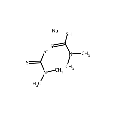 CN(C)C(=S)S.CN(C)C(=S)[S-].[Na+]